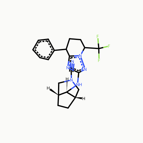 N#CN1C[C@H]2CC[C@@H](C1)[C@@H]2Nc1nc2n(n1)C(C(F)(F)F)CCC2c1ccccc1